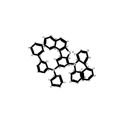 c1ccc(-c2cccc(N(c3ccccc3)c3cc(N(c4ccccc4)c4ccccc4-c4ccccc4)c4sc5ccc6ccccc6c5c4c3)c2)cc1